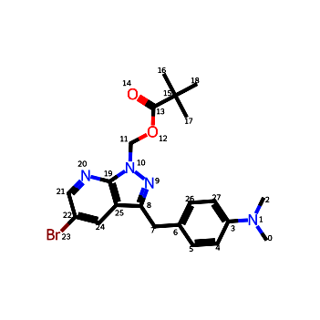 CN(C)c1ccc(Cc2nn(COC(=O)C(C)(C)C)c3ncc(Br)cc23)cc1